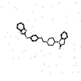 O=C1Cc2ccccc2N1C1CCN(CCc2ccc(Oc3nc4ccccc4s3)cc2)CC1